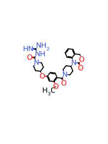 COc1cc(OC2CCN(C(=O)NC(=N)N)CC2)ccc1C(=O)N1CCC(N2C(=O)OCc3ccccc32)CC1